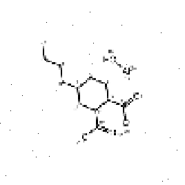 CCCCC1CCC(C(=O)[O-])C(C(=O)[O-])C1.[OH][Al+2]